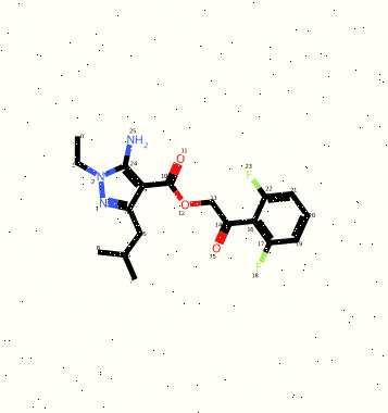 CCn1nc(CC(C)C)c(C(=O)OCC(=O)c2c(F)cccc2F)c1N